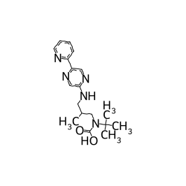 CC(CNc1cnc(-c2ccccn2)cn1)CN(C(=O)O)C(C)(C)C